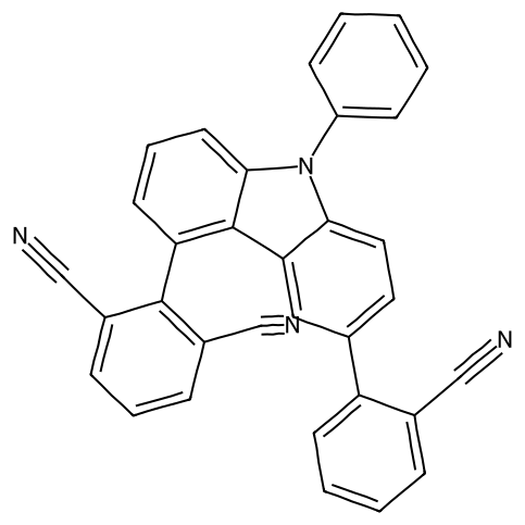 N#Cc1ccccc1-c1ccc2c(c1)c1c(-c3c(C#N)cccc3C#N)cccc1n2-c1ccccc1